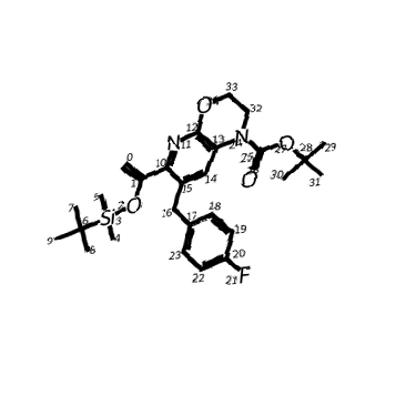 C=C(O[Si](C)(C)C(C)(C)C)c1nc2c(cc1Cc1ccc(F)cc1)N(C(=O)OC(C)(C)C)CCO2